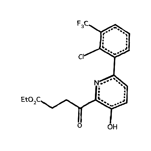 CCOC(=O)CCC(=O)c1nc(-c2cccc(C(F)(F)F)c2Cl)ccc1O